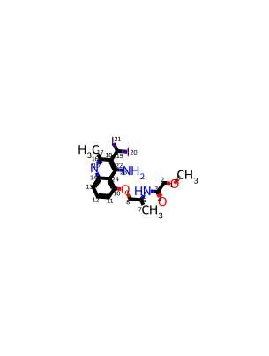 COCC(=O)NC(C)COc1cccc2nc(C)c(C(I)I)c(N)c12